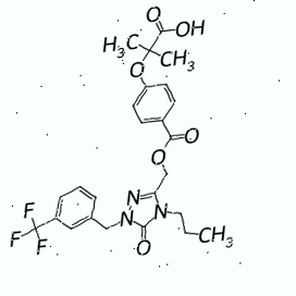 CCCn1c(COC(=O)c2ccc(OC(C)(C)C(=O)O)cc2)nn(Cc2cccc(C(F)(F)F)c2)c1=O